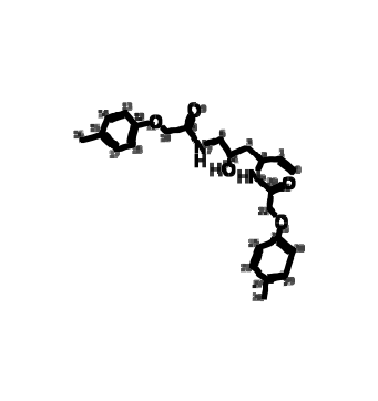 C=CC(C[C@H](O)CNC(=O)COc1ccc(C)cc1)NC(=O)COc1ccc(C)cc1